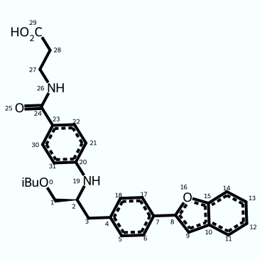 CC(C)COC[C@H](Cc1ccc(-c2cc3ccccc3o2)cc1)Nc1ccc(C(=O)NCCC(=O)O)cc1